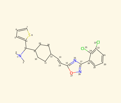 CN(C)C(c1cccs1)C1CCC(/C=C/c2nc(-c3cccc(Cl)c3Cl)no2)CC1